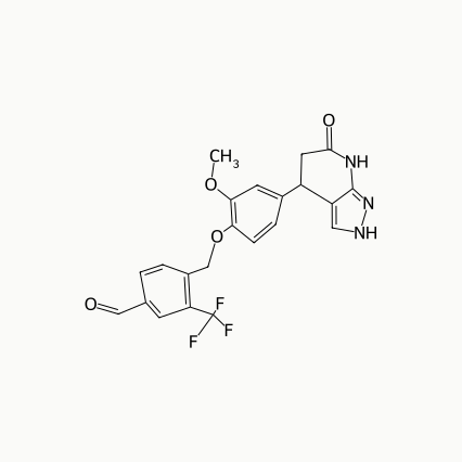 COc1cc(C2CC(=O)Nc3n[nH]cc32)ccc1OCc1ccc(C=O)cc1C(F)(F)F